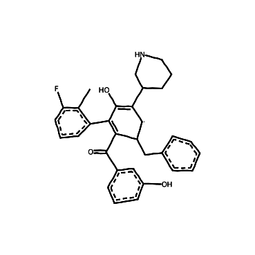 Cc1c(F)cccc1C1=C(C(=O)c2cccc(O)c2)C(Cc2ccccc2)[CH]C(C2CCCNC2)=C1O